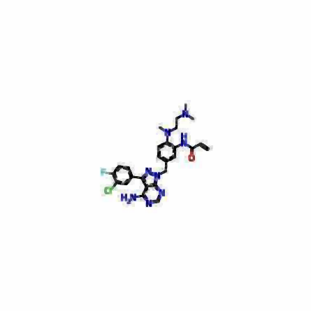 C=CC(=O)Nc1cc(Cn2nc(-c3ccc(F)c(Cl)c3)c3c(N)ncnc32)ccc1N(C)CCN(C)C